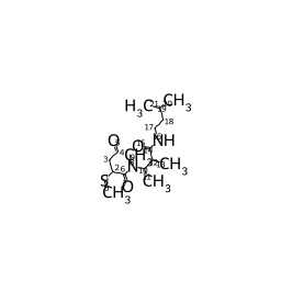 CSC(CC=O)C(=O)N(C)C(C)C(C)C(=O)NCCC(C)C